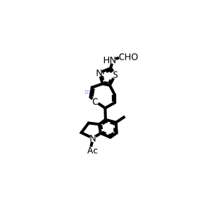 CC(=O)N1CCc2c1ccc(C)c2C1C=Cc2sc(NC=O)nc2/C=C\C1